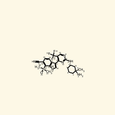 C[C@@]1(N)CCC[C@H](Nc2ncc(C(F)(F)F)c(-c3c[nH]c4c(P(C)(C)=O)c(C#N)ccc34)n2)C1